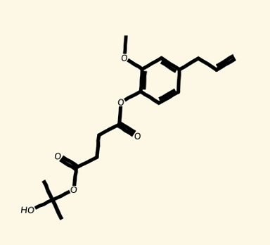 C=CCc1ccc(OC(=O)CCC(=O)OC(C)(C)O)c(OC)c1